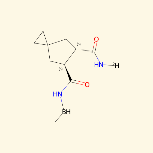 [2H]NC(=O)[C@H]1CC2(CC2)C[C@@H]1C(=O)NBC